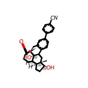 C[C@]12CC3c4ccc(-c5ccc(C#N)cc5)cc4C[C@]45CCC(=O)C=C4CC[C@@H]([C@@H]1CC[C@@H]2O)[C@]35O